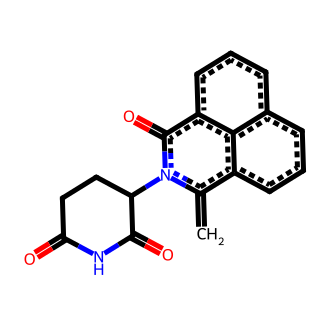 C=c1c2cccc3cccc(c(=O)n1C1CCC(=O)NC1=O)c32